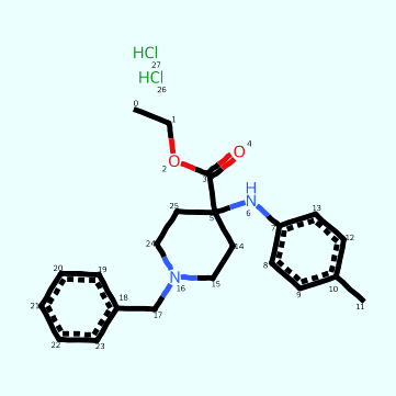 CCOC(=O)C1(Nc2ccc(C)cc2)CCN(Cc2ccccc2)CC1.Cl.Cl